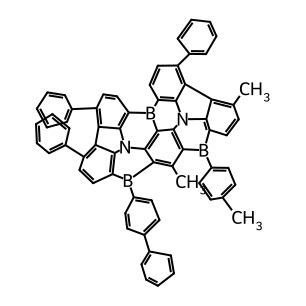 Cc1ccc(B2c3c(C)c4c5c6c3-n3c7c2ccc(C)c7c2c(-c7ccccc7)ccc(c23)B6c2ccc(-c3ccccc3)c3c6c(-c7ccccc7)ccc(c6n-5c23)B4c2ccc(-c3ccccc3)cc2)cc1